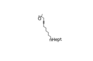 CCCCCCCCCCCCCC#CCC1(C)CO1